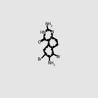 Nc1nc2ccc3c(Br)c(N)c(Br)cc3c2c(=O)[nH]1